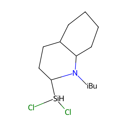 CCC(C)N1C2CCCCC2CCC1[SiH](Cl)Cl